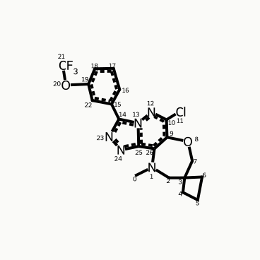 CN1CC2(CCC2)COc2c(Cl)nn3c(-c4cccc(OC(F)(F)F)c4)nnc3c21